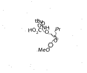 COc1ccc(CO[C@@H](C)[C@@H](C=CCOCC(NC(=O)OC(C)(C)C)C(=O)O)CCC(C)C)cc1